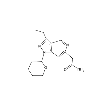 CCc1nn(C2CCCCO2)c2cc(CC(N)=O)ncc12